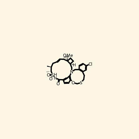 CO[C@H]1/C=C/C[C@H](C)[C@@H](C)S(=O)(=O)NC(=O)c2ccc3c(c2)N(Cc2ccc(Cl)cc2CCSCO3)C[C@@H]2CC[C@H]21